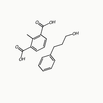 Cc1c(C(=O)O)cccc1C(=O)O.OCCCc1ccccc1